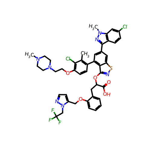 Cc1c(-c2cc(-c3nn(C)c4cc(Cl)ccc34)cc3snc(OC(Cc4ccccc4OCc4ccnn4CC(F)(F)F)C(=O)O)c23)ccc(OCCN2CCN(C)CC2)c1Cl